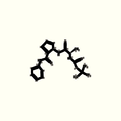 C[C@H](NC(=O)OC(C)(C)C)C(=O)Nn1cccc1C(=O)Nc1ccccc1